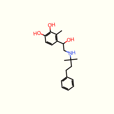 Cc1c(C(O)CNC(C)(C)CCc2ccccc2)ccc(O)c1O